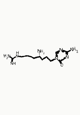 N=C(N)NCCC[C@H](N)CCCn1cnc(N)nc1=O